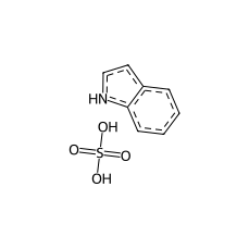 O=S(=O)(O)O.c1ccc2[nH]ccc2c1